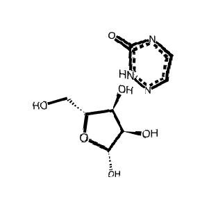 O=c1nccn[nH]1.OC[C@H]1O[C@@H](O)[C@H](O)[C@@H]1O